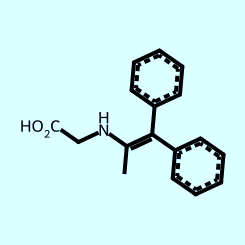 CC(NCC(=O)O)=C(c1ccccc1)c1ccccc1